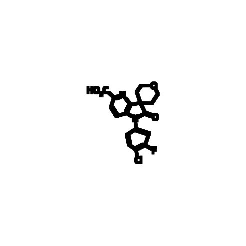 O=C(O)c1ccc2c(n1)C1(CCOCC1)C(=O)N2c1ccc(Cl)c(F)c1